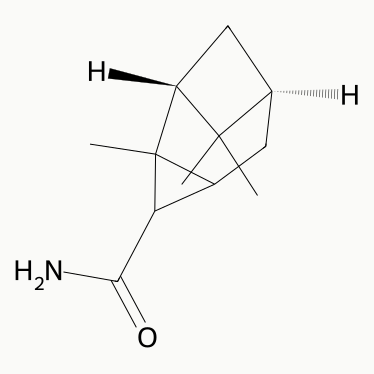 CC12C(C[C@@H]3C[C@@H]1C3(C)C)C2C(N)=O